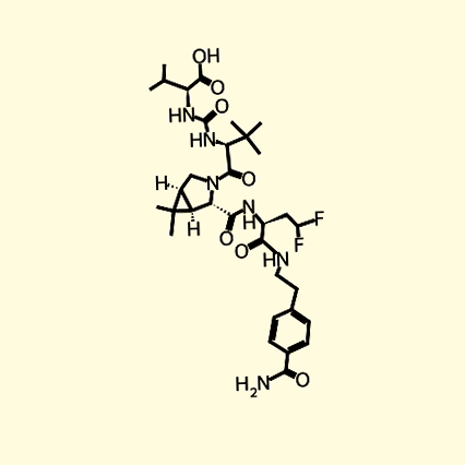 CC(C)[C@H](NC(=O)N[C@H](C(=O)N1C[C@H]2[C@@H]([C@H]1C(=O)N[C@@H](CC(F)F)C(=O)NCCc1ccc(C(N)=O)cc1)C2(C)C)C(C)(C)C)C(=O)O